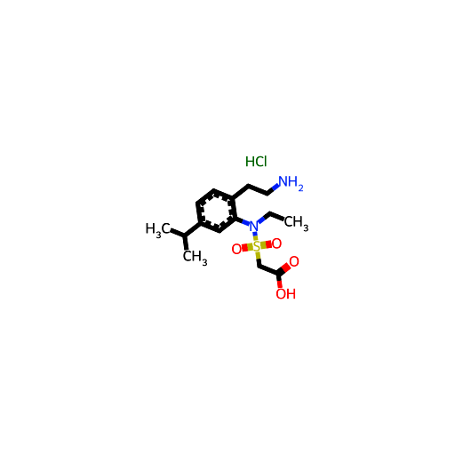 CCN(c1cc(C(C)C)ccc1CCN)S(=O)(=O)CC(=O)O.Cl